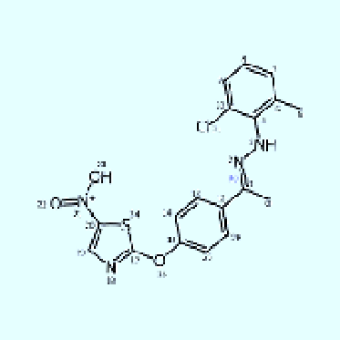 C/C(=N\Nc1c(C)cccc1Cl)c1ccc(Oc2ncc([N+](=O)O)s2)cc1